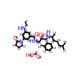 CCNc1cc(C(=O)N[C@@H](Cc2ccccc2)[C@H](O)CNC(C)CCCC(C)C)cc(N2CCCC2=O)c1.O=CO